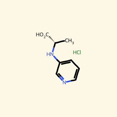 C[C@H](Nc1cccnc1)C(=O)O.Cl